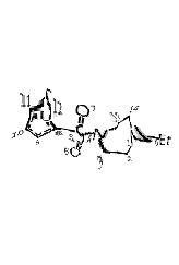 [CH2]CN1CCN(S(=O)(=O)c2cccs2)CC1